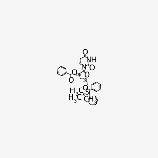 CC(C)(C)[Si](OC[C@@H]1C[C@H](OC(=O)c2ccccc2)[C@H](n2ccc(=O)[nH]c2=O)O1)(c1ccccc1)c1ccccc1